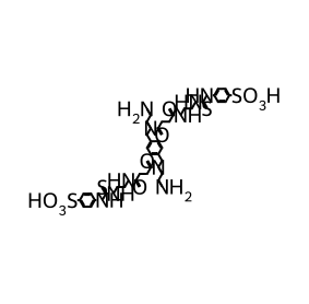 NCCN(Cc1ccc(CN(CCN)C(=O)CCC(=O)NCCNC(=S)Nc2ccc(S(=O)(=O)O)cc2)cc1)C(=O)CCC(=O)NCCNC(=S)Nc1ccc(S(=O)(=O)O)cc1